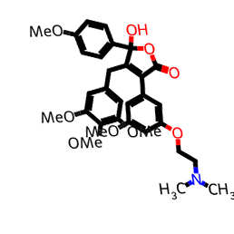 COc1ccc(C2(O)OC(=O)C(c3cc(OC)cc(OCCN(C)C)c3)=C2Cc2cc(OC)c(OC)c(OC)c2)cc1